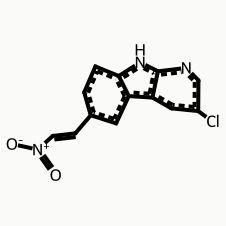 O=[N+]([O-])C=Cc1ccc2[nH]c3ncc(Cl)cc3c2c1